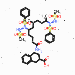 CC(CCC(C)N(NS(C)(=O)=O)S(=O)(=O)c1ccccc1)CC(CCCC(N)=O)N(NS(C)(=O)=O)S(=O)(=O)c1ccccc1.O=C(O)C1CCc2ccccc2C1